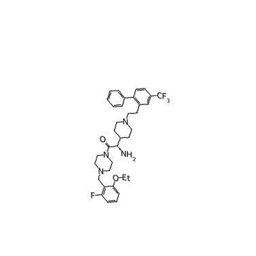 CCOc1cccc(F)c1CN1CCN(C(=O)[C@H](N)C2CCN(CCc3cc(C(F)(F)F)ccc3-c3ccccc3)CC2)CC1